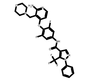 Nc1nccc(Oc2c(F)cc(NC(=O)c3cnn(-c4ccccc4)c3C(F)(F)F)cc2F)c1CN1CCOCC1